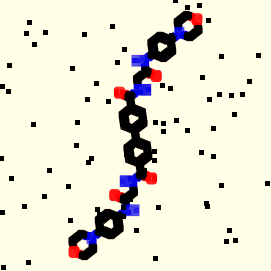 O=C(CNC(=O)c1ccc(-c2ccc(C(=O)NCC(=O)Nc3ccc(N4CCOCC4)cc3)cc2)cc1)Nc1ccc(N2CCOCC2)cc1